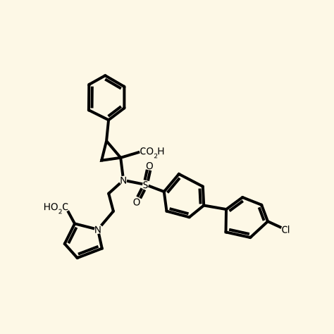 O=C(O)c1cccn1CCN(C1(C(=O)O)CC1c1ccccc1)S(=O)(=O)c1ccc(-c2ccc(Cl)cc2)cc1